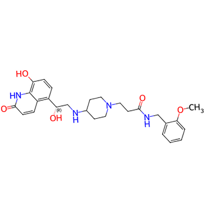 COc1ccccc1CNC(=O)CCN1CCC(NC[C@H](O)c2ccc(O)c3[nH]c(=O)ccc23)CC1